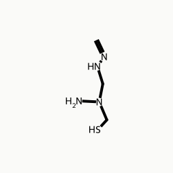 C=NNCN(N)CS